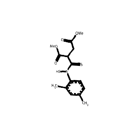 COC(=O)CC(C(=O)OC)C(=S)N(S)c1ccc(C)cc1C